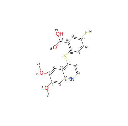 COc1cc2nccc(Sc3ccc(F)cc3C(=O)O)c2cc1OC